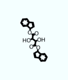 O=C(OC1C=Cc2ccccc21)C(O)C(O)C(=O)OC1C=Cc2ccccc21